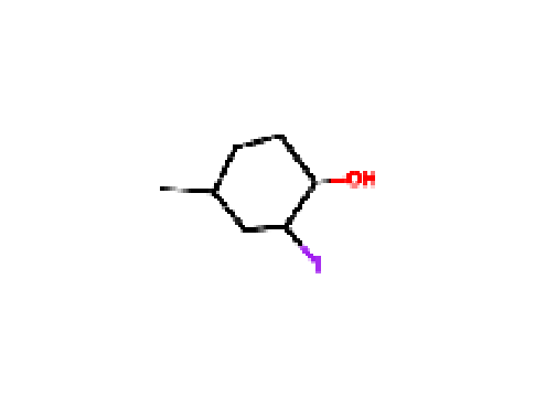 CC1CCC(O)C(I)C1